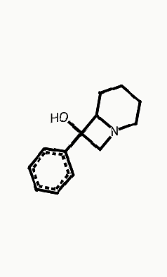 OC1(c2ccccc2)CN2CCCCC21